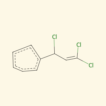 ClC(Cl)=CC(Cl)c1ccccc1